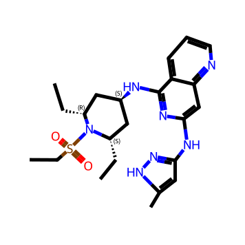 CC[C@@H]1C[C@@H](Nc2nc(Nc3cc(C)[nH]n3)cc3ncccc23)C[C@H](CC)N1S(=O)(=O)CC